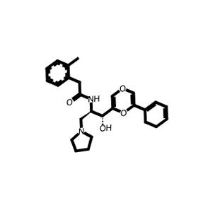 Cc1ccccc1CC(=O)N[C@H](CN1CCCC1)[C@@H](O)C1=COC=C(C2=CC=CCC2)O1